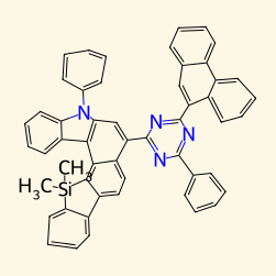 C[Si]1(C)c2ccccc2-c2ccc3c(-c4nc(-c5ccccc5)nc(-c5cc6ccccc6c6ccccc56)n4)cc4c(c5ccccc5n4-c4ccccc4)c3c21